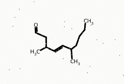 CCCCC(C)C=CC(C)CC=O